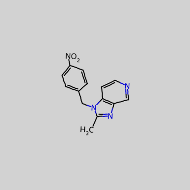 Cc1nc2cnccc2n1Cc1ccc([N+](=O)[O-])cc1